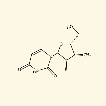 C[C@@H]1[C@@H](CO)OC(n2ccc(=O)[nH]c2=O)[C@@H]1F